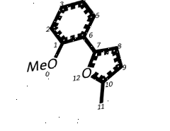 COc1ccccc1-c1ccc(C)o1